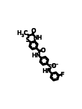 CC1Sc2ccc(C(=O)Nc3ccc([S+]([O-])Nc4cccc(F)c4)cc3)cc2NC1=O